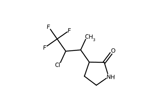 CC(C1CCNC1=O)C(Cl)C(F)(F)F